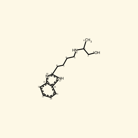 CC(CO)NCCCCc1nc2ccccc2[nH]1